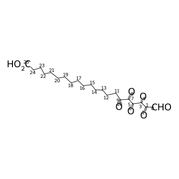 O=CC(=O)C(=O)C(=O)C(=O)C(=O)CCCCCCCCCCCCCCC(=O)O